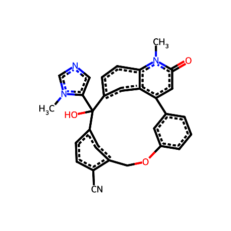 Cn1cncc1C1(O)c2ccc(C#N)c(c2)COc2cccc(c2)-c2cc(=O)n(C)c3ccc1cc23